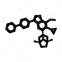 CC(=O)Nc1c(C2CC2)c([C@@H]2C[C@H]3CC[C@@H](C2)N3)nc2c(-c3ccc(-c4ccccc4)nc3)cnn12